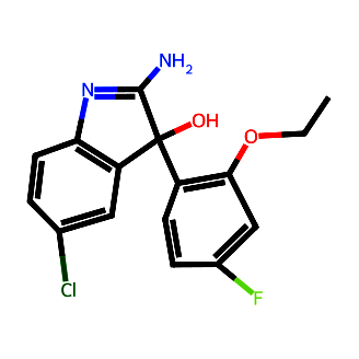 CCOc1cc(F)ccc1C1(O)C(N)=Nc2ccc(Cl)cc21